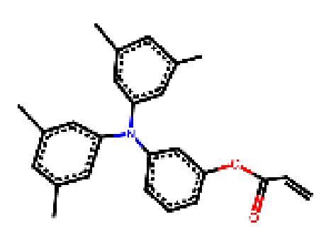 C=CC(=O)Oc1cccc(N(c2cc(C)cc(C)c2)c2cc(C)cc(C)c2)c1